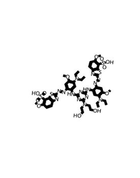 CCN(CC)c1cc(Nc2nc(Nc3cc(N(CC)CC)c(OC)cc3/N=N/c3nc4ccc(OC)c(S(=O)(=O)O)c4s3)nc(N(CCO)CCO)n2)c(/N=N/c2nc3ccc(OC)c(S(=O)(=O)O)c3s2)cc1OC